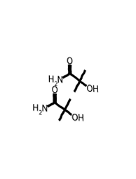 CC(C)(O)C(N)=O.CC(C)(O)C(N)=O